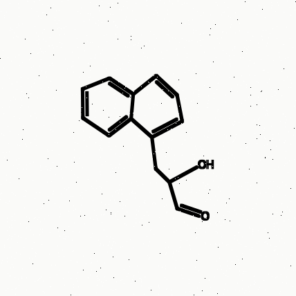 O=CC(O)Cc1cccc2ccccc12